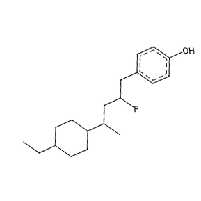 CCC1CCC(C(C)CC(F)Cc2ccc(O)cc2)CC1